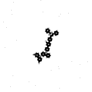 Cc1ccc2c(c1)c1cc(C)ccc1n2-c1ccc2c(c1)c1ccccc1n2-c1ccc(-c2ccc(-c3ccc(-c4cc(-c5ccccc5)nc(-c5ccccc5)n4)cc3)c(C)c2)cc1